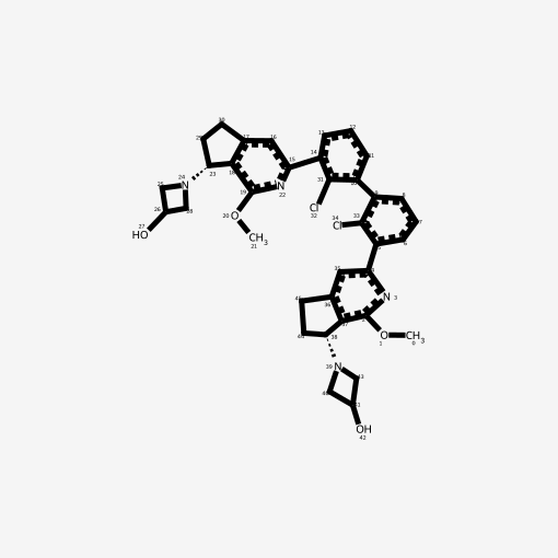 COc1nc(-c2cccc(-c3cccc(-c4cc5c(c(OC)n4)[C@H](N4CC(O)C4)CC5)c3Cl)c2Cl)cc2c1[C@H](N1CC(O)C1)CC2